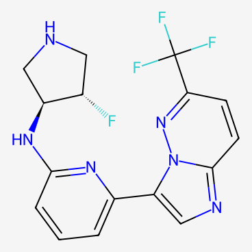 F[C@H]1CNC[C@@H]1Nc1cccc(-c2cnc3ccc(C(F)(F)F)nn23)n1